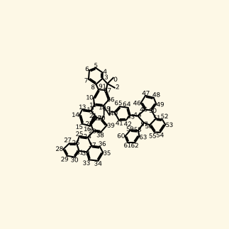 CC1(C)c2ccccc2-c2cc(-c3ccccc3)c(N(c3ccc(-c4cc5ccccc5c5ccccc45)cc3)c3ccc(C4c5ccccc5-c5ccccc5C4c4ccccc4)cc3)cc21